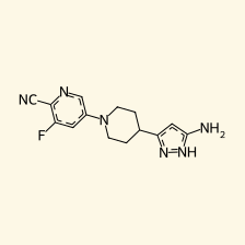 N#Cc1ncc(N2CCC(c3cc(N)[nH]n3)CC2)cc1F